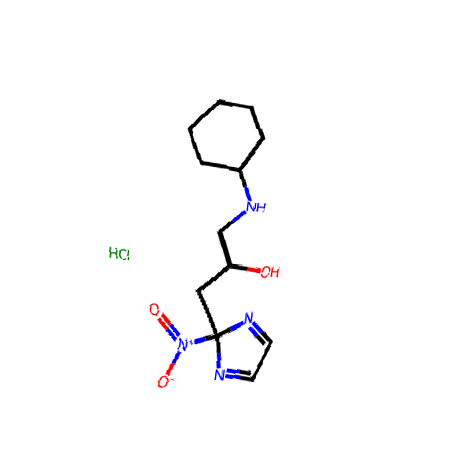 Cl.O=[N+]([O-])C1(CC(O)CNC2CCCCC2)N=CC=N1